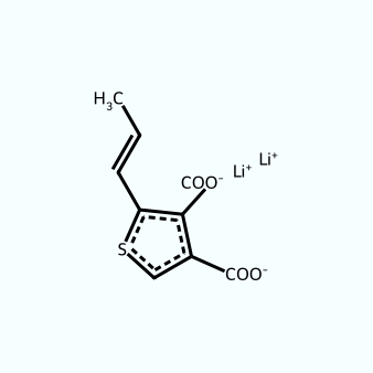 CC=Cc1scc(C(=O)[O-])c1C(=O)[O-].[Li+].[Li+]